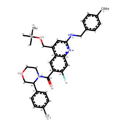 COc1ccc(CNc2cc(CO[Si](C)(C)C(C)(C)C)c3cc(C(=O)N4CCOCC4c4ccc(C(F)(F)F)cc4)c(F)cc3n2)cc1